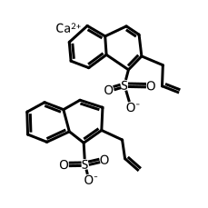 C=CCc1ccc2ccccc2c1S(=O)(=O)[O-].C=CCc1ccc2ccccc2c1S(=O)(=O)[O-].[Ca+2]